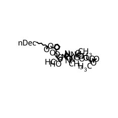 C#C[C@]1(COC(=O)c2ccccc2COC(=O)CCCCCCCCCCCCCCC)O[C@@H](n2cnc3c(NC(=O)OC(C)(C)CC(=O)OCc4oc(=O)oc4C)nc(C)nc32)C[C@@H]1O